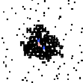 CC(C)(C)c1ccc(N2c3ccc(C(C)(C)c4ccccc4)cc3B3c4cc5c(cc4N(c4ccc6c(c4)C(C)(C)CCC6(C)C)c4cc(C(C)(C)C)cc2c43)C(C)(C)CCC5(C)C)c(-c2ccccc2)c1